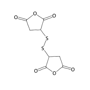 O=C1CC(SSC2CC(=O)OC2=O)C(=O)O1